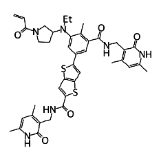 C=CC(=O)N1CCC(N(CC)c2cc(-c3cc4sc(C(=O)NCc5c(C)cc(C)[nH]c5=O)cc4s3)cc(C(=O)NCc3c(C)cc(C)[nH]c3=O)c2C)C1